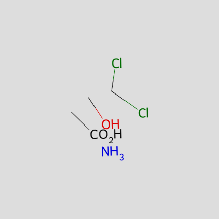 CC(=O)O.CO.ClCCl.N